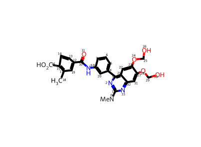 CNc1nc(-c2cccc(NC(=O)c3ccc(C(=O)O)c(C)c3)c2)c2cc(OCO)c(OCO)cc2n1